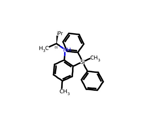 Cc1ccc(N[C@@H](C)C(C)C)c([Si](C)(c2ccccc2)c2ccccc2)c1